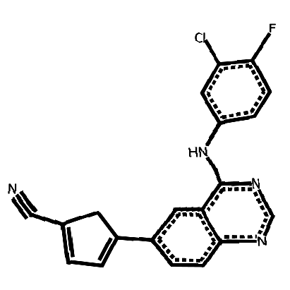 N#CC1=CC=C(c2ccc3ncnc(Nc4ccc(F)c(Cl)c4)c3c2)C1